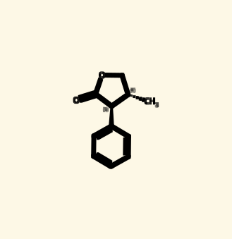 C[C@H]1COC(=O)[C@@H]1c1ccccc1